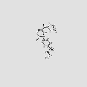 Cc1cnc(Nc2cnn(C)c2)nc1-c1ccc(C(=O)NCC#N)cc1